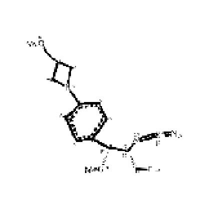 COC1CN(c2ccc([C@@H](OC)[C@@H](CF)N=[N+]=[N-])cc2)C1